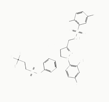 Cc1ccc(F)cc1S(=O)(=O)NCC1=NN(c2ccc(Cl)cc2Cl)[C@H](c2ccc(OS(=O)(=O)CCC(F)(F)F)cc2)[C@@H]1C